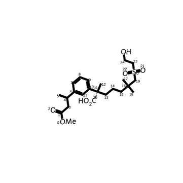 COC(=O)CC(C)c1cccc([C@@](C)(CCCC(C)(C)CS(=O)(=O)CCO)C(=O)O)c1